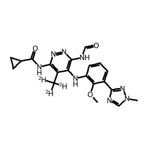 [2H]C([2H])([2H])c1c(NC(=O)C2CC2)nnc(NC=O)c1Nc1cccc(-c2ncn(C)n2)c1OC